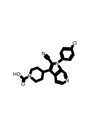 N#Cc1c(C2CCN(C(=O)O)CC2)c2ccncc2n1-c1ccc(Cl)cc1